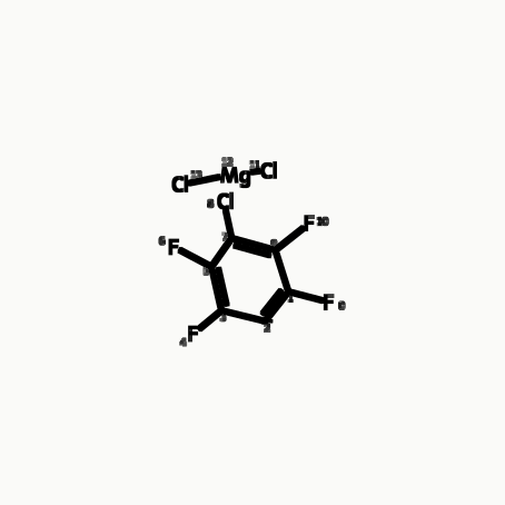 Fc1[c]c(F)c(F)c(Cl)c1F.[Cl][Mg][Cl]